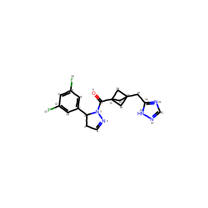 O=C(N1N=CCC1c1cc(F)cc(F)c1)C12CC(Cc3ncn[nH]3)(C1)C2